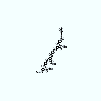 C=CC(=O)OCCCCOC(=O)C1CCC(C(=O)Oc2ccc(OC(=O)C3CCC(C(=O)Oc4ccc(OC(=O)C5CCC(C(=O)Oc6ccc(OC)cc6C(=O)OCCCC)CC5)c(C(=O)OCCCC)c4)CC3)cc2C(=O)OCCCC)CC1